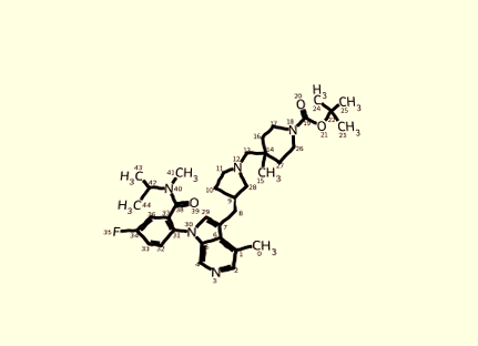 Cc1cncc2c1c(C[C@H]1CCN(CC3(C)CCN(C(=O)OC(C)(C)C)CC3)C1)cn2-c1ccc(F)cc1C(=O)N(C)C(C)C